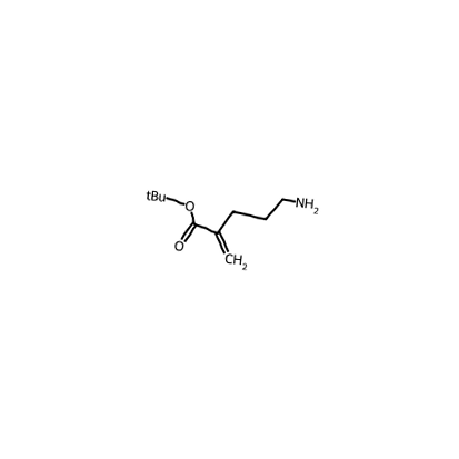 C=C(CCCN)C(=O)OC(C)(C)C